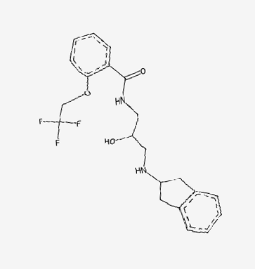 O=C(NCC(O)CNC1Cc2ccccc2C1)c1ccccc1OCC(F)(F)F